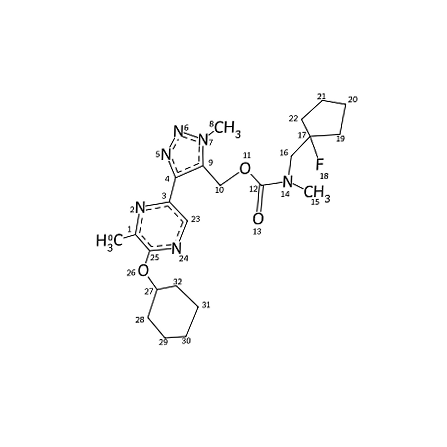 Cc1nc(-c2nnn(C)c2COC(=O)N(C)CC2(F)CCCC2)cnc1OC1CCCCC1